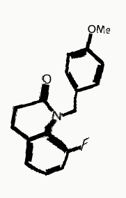 COc1ccc(CN2C(=O)CCc3cccc(F)c32)cc1